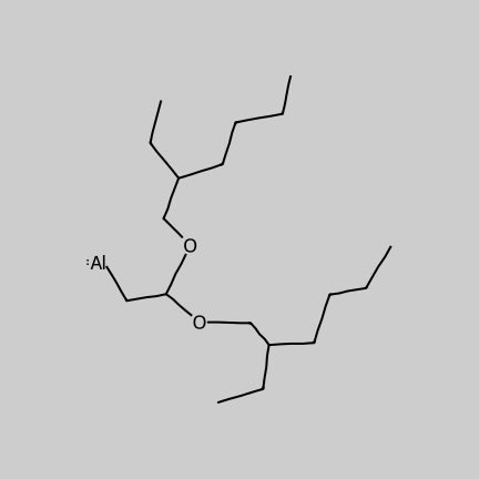 CCCCC(CC)COC([CH2][Al])OCC(CC)CCCC